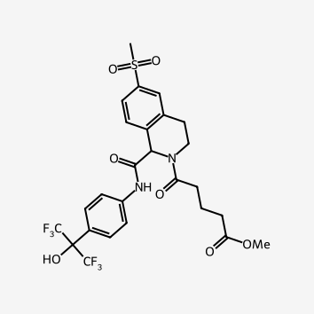 COC(=O)CCCC(=O)N1CCc2cc(S(C)(=O)=O)ccc2C1C(=O)Nc1ccc(C(O)(C(F)(F)F)C(F)(F)F)cc1